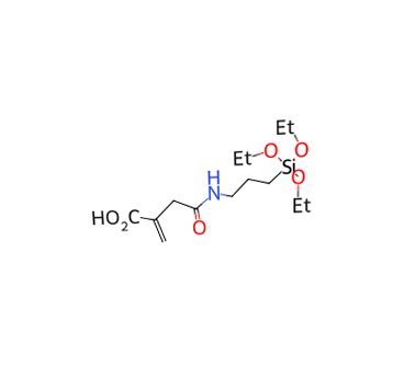 C=C(CC(=O)NCCC[Si](OCC)(OCC)OCC)C(=O)O